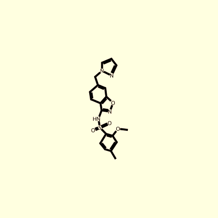 COc1cc(C)ccc1S(=O)(=O)Nc1noc2cc(Cn3cccn3)ccc12